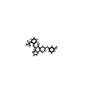 O=C1C2=C(CCN(Cc3cccc(F)c3)C2)N2CCN=C2N1Cc1ccccc1C(F)(F)F